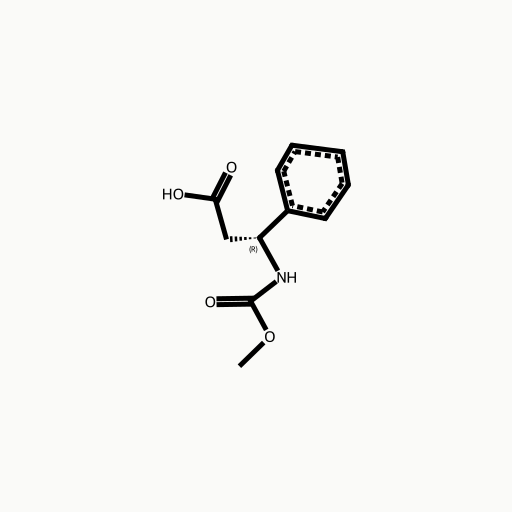 COC(=O)N[C@H](CC(=O)O)c1ccccc1